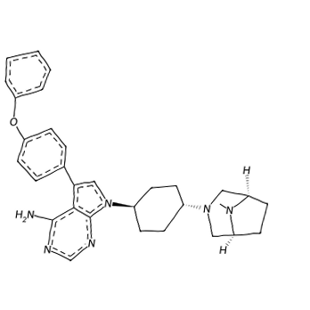 CN1[C@@H]2CC[C@H]1CN([C@H]1CC[C@H](n3cc(-c4ccc(Oc5ccccc5)cc4)c4c(N)ncnc43)CC1)C2